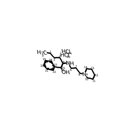 CCCCC(NCCCN1CCCCC1)C(O)c1ccccc1.Cl.Cl